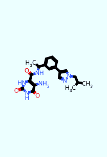 CC(C)Cn1cc(-c2cccc(C(C)NC(=O)c3[nH]c(=O)[nH]c(=O)c3N)c2)cn1